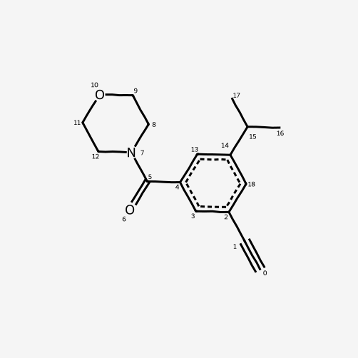 C#Cc1cc(C(=O)N2CCOCC2)cc(C(C)C)c1